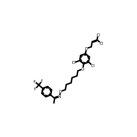 CC(=NOCCCCCCOc1c(Cl)cc(OCC=C(Cl)Cl)cc1Cl)c1ccc(C(F)(F)F)cc1